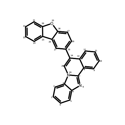 c1ccc2c(c1)nc1c3ccccc3c(-c3ccc4oc5ccccc5c4c3)cn21